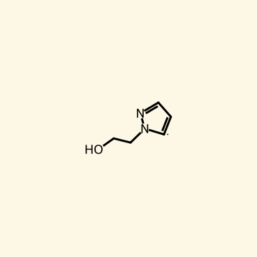 OCCn1[c]ccn1